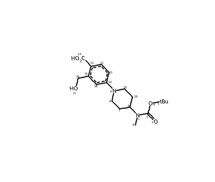 CN(C(=O)OC(C)(C)C)C1CCN(c2ccc(C(=O)O)c(CO)c2)CC1